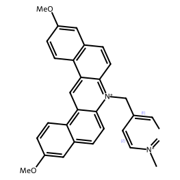 C=[N+](C)/C=C\C(=C/C)C[n+]1c2ccc3cc(OC)ccc3c2cc2c3ccc(OC)cc3ccc21